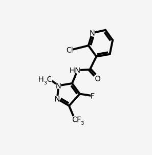 Cn1nc(C(F)(F)F)c(F)c1NC(=O)c1cccnc1Cl